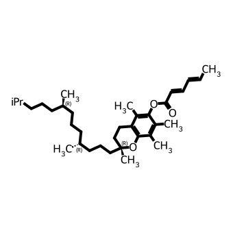 CC=CC=CC(=O)Oc1c(C)c(C)c2c(c1C)CC[C@@](C)(CCC[C@H](C)CCC[C@H](C)CCCC(C)C)O2